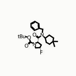 CC1(C)CCC(N(Cc2ccccc2)C(=O)[C@@H]2C[C@H](F)CN2C(=O)OC(C)(C)C)CC1